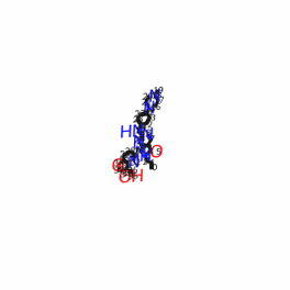 C=CCn1c(=O)c2cnc(Nc3ccc(N4CCN(C)CC4)cc3)nc2n1-c1ccc2c(n1)[C@](O)(CC)CO2